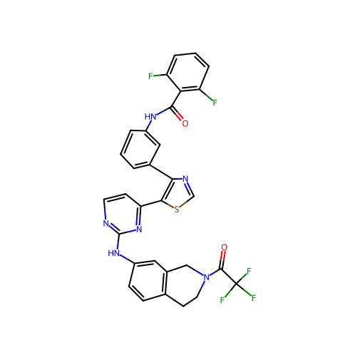 O=C(Nc1cccc(-c2ncsc2-c2ccnc(Nc3ccc4c(c3)CN(C(=O)C(F)(F)F)CC4)n2)c1)c1c(F)cccc1F